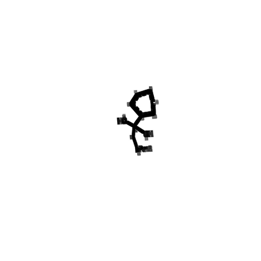 CCCCCCC(O)(O)c1ccccc1